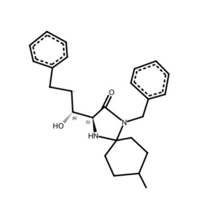 CC1CCC2(CC1)N[C@@H]([C@H](O)[CH]Cc1ccccc1)C(=O)N2Cc1ccccc1